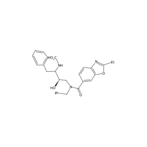 CCc1nc2ccc(C(=O)N(CC(C)C)C[C@@H](O)C(Cc3ccccc3)NC(=O)O)cc2o1